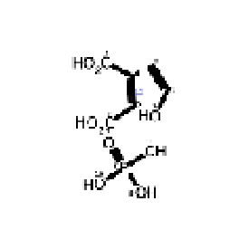 C=CO.O=C(O)/C=C\C(=O)O.O=P(O)(O)O